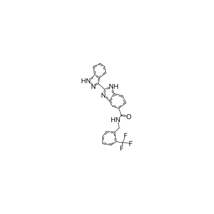 O=C(NCc1ccccc1C(F)(F)F)c1ccc2[nH]c(-c3n[nH]c4ccccc34)nc2c1